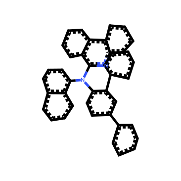 c1ccc(-c2ccc(N(c3cccc4ccccc34)c3nc4ccccc4c4ccccc34)c(-c3ccccc3)c2)cc1